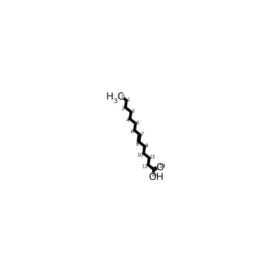 CCCCCCCC=CCCCCC(=O)O